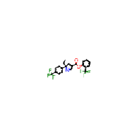 CCC1(c2ccc(C(F)(F)F)cc2)C=C(C(=O)Oc2ccccc2C(F)(F)F)C=N1